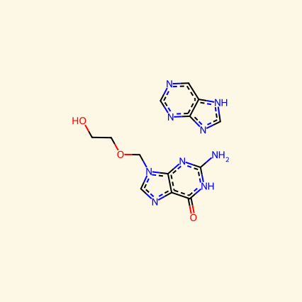 Nc1nc2c(ncn2COCCO)c(=O)[nH]1.c1ncc2[nH]cnc2n1